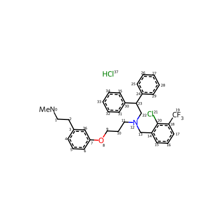 CNCCc1cccc(OCCCN(Cc2cccc(C(F)(F)F)c2Cl)CC(c2ccccc2)c2ccccc2)c1.Cl